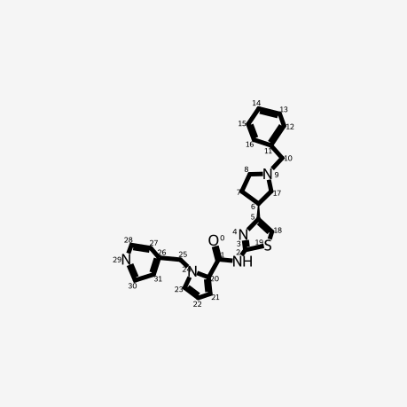 O=C(Nc1nc([C@H]2CCN(Cc3ccccc3)C2)cs1)c1cccn1Cc1ccncc1